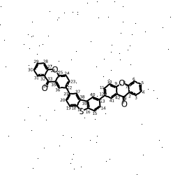 O=c1c2ccccc2oc2ccc(-c3ccc4sc5ccc(-c6ccc7oc8ccccc8c(=O)c7c6)cc5c4c3)cc12